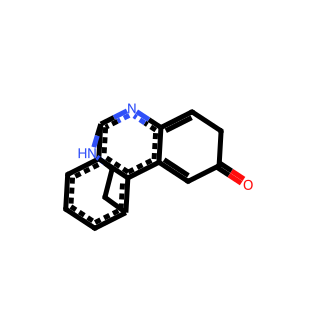 O=C1C=c2c(nc3c4cccc(c24)CCN3)=CC1